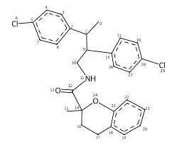 CC(c1ccc(Cl)cc1)C(CNC(=O)C1(C)CCc2ccccc2O1)c1ccc(Cl)cc1